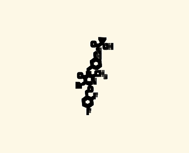 Cc1nc(OCc2ccc(F)cc2F)c(Br)c(=O)n1Cc1cccc(CNC(=O)C2(O)CC2)c1